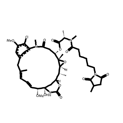 COc1cc2cc(c1Cl)N(C)C(=O)C[C@H](OC(=O)[C@H](C)N(C)C(=O)CCCCCN1C(=O)CC(C)C1=O)[C@]1(C)O[C@H]1[C@H](C)[C@@H]1C[C@@](O)(NC(=O)O1)[C@H](OC)/C=C/C=C(\C)C2